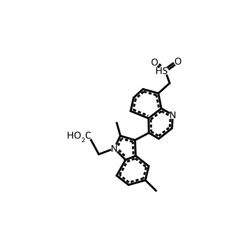 Cc1ccc2c(c1)c(-c1ccnc3c(C[SH](=O)=O)cccc13)c(C)n2CC(=O)O